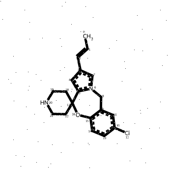 CC=Cc1cc2n(c1)Cc1cc(Cl)ccc1OC21CCNCC1